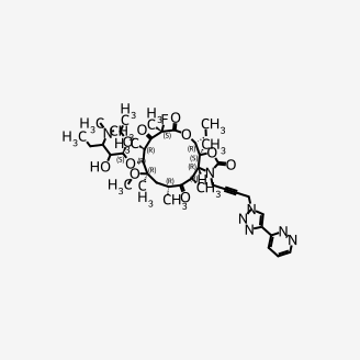 CCO[C@@H](O[C@@H]1[C@@H](C)C(=O)[C@](C)(F)C(=O)O[C@H](CC)[C@@]2(C)OC(=O)N(CC#CCn3cc(-c4cccnn4)nn3)[C@@H]2[C@@H](C)C(=O)[C@H](C)C[C@@]1(C)OC)C(O)C(CC)N(C)C